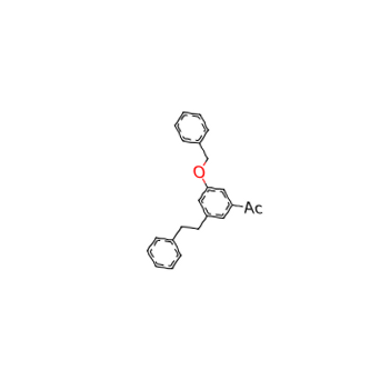 CC(=O)c1cc(CCc2ccccc2)cc(OCc2ccccc2)c1